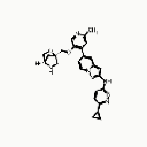 Cc1cc(-c2ccn3nc(Nc4ccc(C5CC5)nn4)cc3c2)c(OC[C@@]23CN[C@@H](CO2)C3)cn1